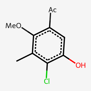 COc1c(C(C)=O)cc(O)c(Cl)c1C